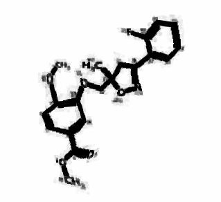 COC(=O)c1ccc(OC)c(OCC2(C)CC(c3ccccc3F)=NO2)c1